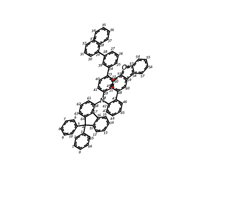 c1ccc(C2(c3ccccc3)c3ccccc3-c3c(N(c4ccc(-c5cccc(-c6cccc7ccccc67)c5)cc4)c4ccccc4-c4ccc5oc6ccccc6c5c4)cccc32)cc1